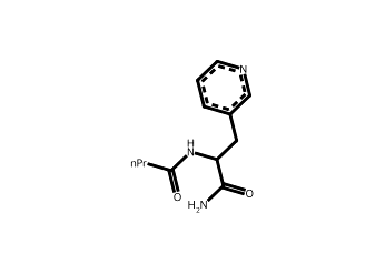 CCCC(=O)NC(Cc1cccnc1)C(N)=O